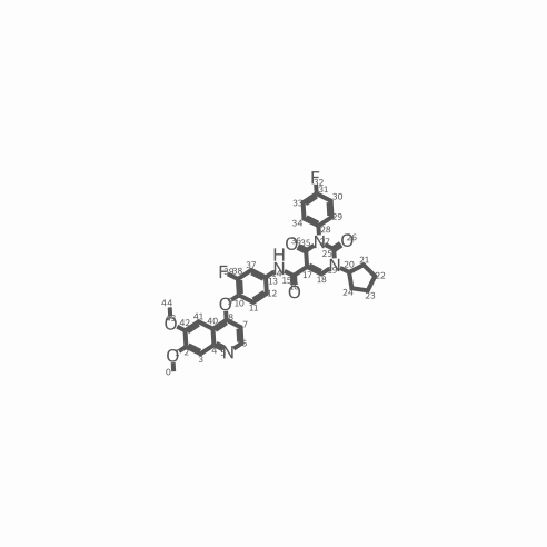 COc1cc2nccc(Oc3ccc(NC(=O)c4cn(C5CCCC5)c(=O)n(-c5ccc(F)cc5)c4=O)cc3F)c2cc1OC